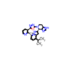 Cc1ncccc1-c1nnc(N2CCc3[nH]cnc3[C@H]2c2cc3c(C(C)C)cccn3n2)o1